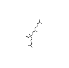 C=CC(C)(C/C=C(\C)CCC=C(C)C)CCC=C(C)C